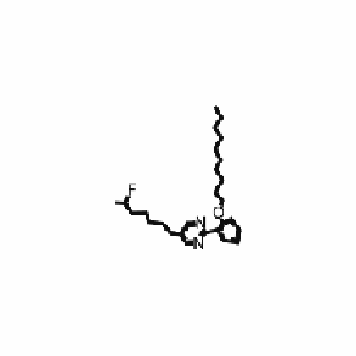 CCCCCCCCCCOc1ccccc1-c1ncc(CCCCCC(C)F)cn1